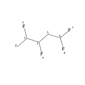 [CH2]C(F)C(F)CC(F)F